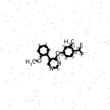 COc1ccccc1-c1cncnc1Oc1ccc(C(F)F)c(C)c1